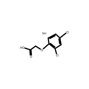 O=C(O)COc1ccc(Cl)cc1Cl.[Sm]